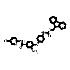 Nc1cc(C(=O)Nc2ccc(Cl)cn2)ccc1Sc1ccc(NC(=O)OCC2c3ccccc3-c3ccccc32)cc1